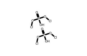 O=P(O)(OCl)OCl.O=P(O)(OCl)OCl